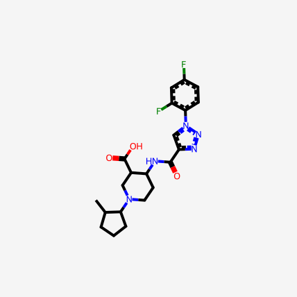 CC1CCCC1N1CCC(NC(=O)c2cn(-c3ccc(F)cc3F)nn2)C(C(=O)O)C1